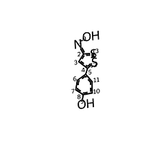 ON=c1cc(-c2ccc(O)cc2)ss1